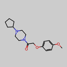 COc1ccc(OCC(=O)N2CCN(C3CCCC3)CC2)cc1